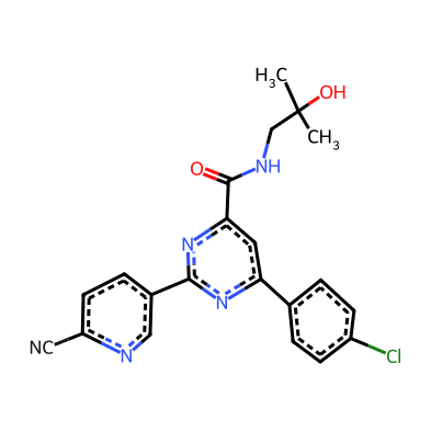 CC(C)(O)CNC(=O)c1cc(-c2ccc(Cl)cc2)nc(-c2ccc(C#N)nc2)n1